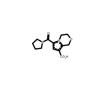 O=C(O)c1cc(C(=O)N2CCCC2)n2c1COCC2